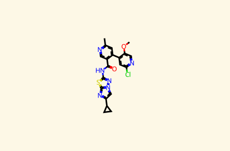 COc1cnc(Cl)cc1-c1cc(C)ncc1C(=O)Nc1nn2cc(C3CC3)nc2s1